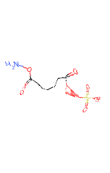 NOC(=O)CCC(=O)OS(=O)(=O)O